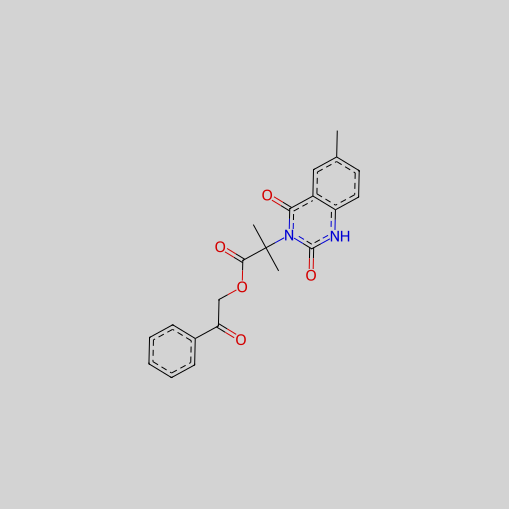 Cc1ccc2[nH]c(=O)n(C(C)(C)C(=O)OCC(=O)c3ccccc3)c(=O)c2c1